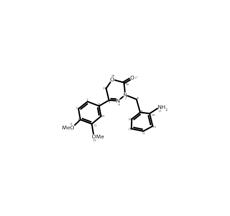 COc1ccc(C2=NN(Cc3ccccc3N)C(=O)OC2)cc1OC